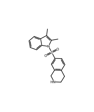 Cc1c(C)n(S(=O)(=O)c2ccc3c(c2)CNCC3)c2ccccc12